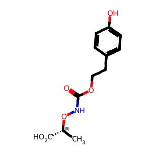 C[C@@H](ONC(=O)OCCc1ccc(O)cc1)C(=O)O